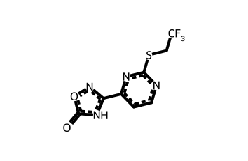 O=c1[nH]c(-c2ccnc(SCC(F)(F)F)n2)no1